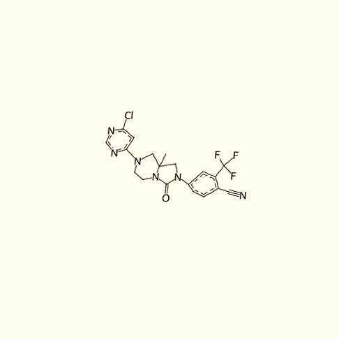 CC12CN(c3cc(Cl)ncn3)CCN1C(=O)N(c1ccc(C#N)c(C(F)(F)F)c1)C2